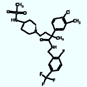 Cc1cc(C(C)(CCN2CCC(NS(C)(=O)=O)CC2)C(=O)NCc2cc(C(F)(F)F)ccc2F)ccc1Cl